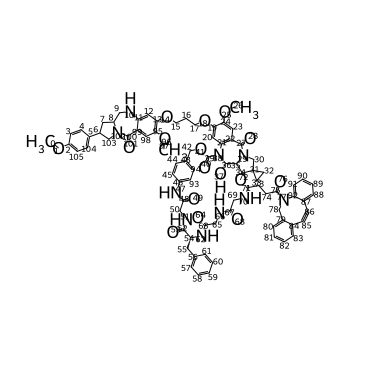 COc1ccc(C2CC3CNc4cc(OCCCOc5cc6c(cc5OC)C(=O)N5CC7(CC7)CC5C(O)N6C(=O)OCc5ccc(NC(=O)CNC(=O)[C@H](Cc6ccccc6)NC(=O)CNC(=O)CNC(=O)CCC(=O)N6Cc7ccccc7C#Cc7ccccc76)cc5)c(OC)cc4C(=O)N3C2)cc1